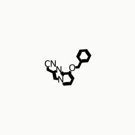 N#CCc1cn2cccc(OCc3ccccc3)c2n1